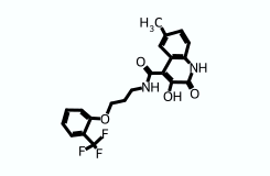 Cc1ccc2[nH]c(=O)c(O)c(C(=O)NCCCOc3ccccc3C(F)(F)F)c2c1